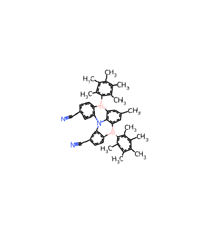 Cc1cc2c3c(c1)B(c1c(C)c(C)c(C)c(C)c1C)c1ccc(C#N)cc1N3c1cc(C#N)ccc1B2c1c(C)c(C)c(C)c(C)c1C